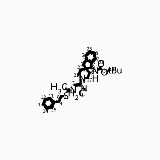 C=N/C(=C\N=C(/C)SCCc1ccccc1)N1CCC2(CC1)Cc1ccccc1[C@H]2NC(=O)OC(C)(C)C